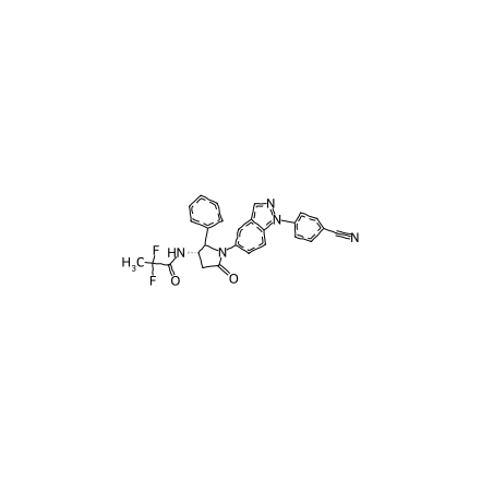 CC(F)(F)C(=O)N[C@H]1CC(=O)N(c2ccc3c(cnn3-c3ccc(C#N)cc3)c2)C1c1ccccc1